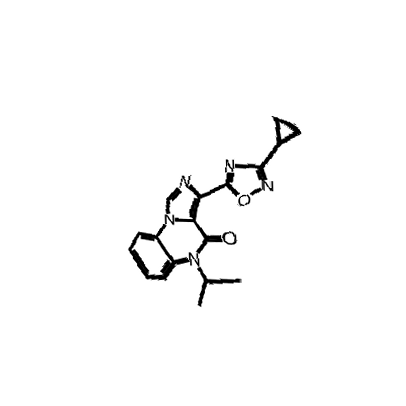 CC(C)n1c(=O)c2c(-c3nc(C4CC4)no3)ncn2c2ccccc21